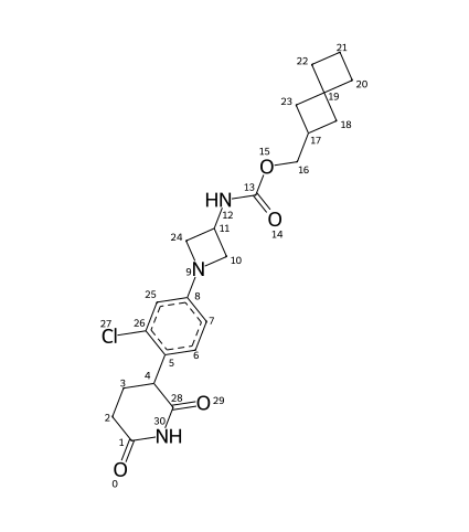 O=C1CCC(c2ccc(N3CC(NC(=O)OCC4CC5(CCC5)C4)C3)cc2Cl)C(=O)N1